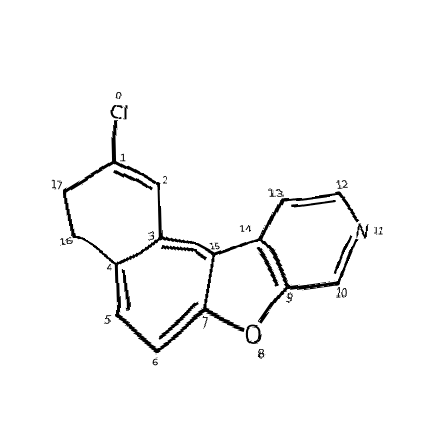 ClC1=Cc2c(ccc3oc4cnccc4c23)CC1